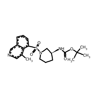 Cc1cncc2cccc(S(=O)(=O)N3CCC[C@H](NC(=O)OC(C)(C)C)C3)c12